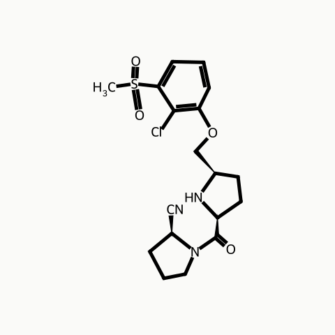 CS(=O)(=O)c1cccc(OC[C@H]2CC[C@@H](C(=O)N3CCC[C@H]3C#N)N2)c1Cl